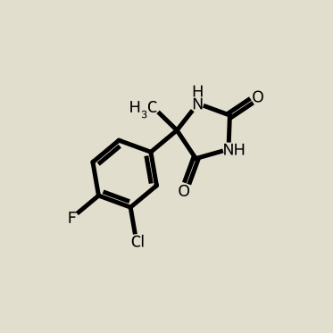 CC1(c2ccc(F)c(Cl)c2)NC(=O)NC1=O